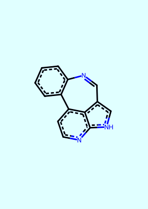 C1=Nc2ccccc2-c2ccnc3[nH]cc1c23